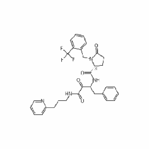 O=C(NCCCc1ccccn1)C(=O)C(Cc1ccccc1)NC(=O)[C@H]1CCC(=O)N1Cc1ccccc1C(F)(F)F